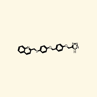 c1ccc2nc(CSc3ccc(OCc4ccc(OCc5nnn[nH]5)cc4)cc3)ccc2c1